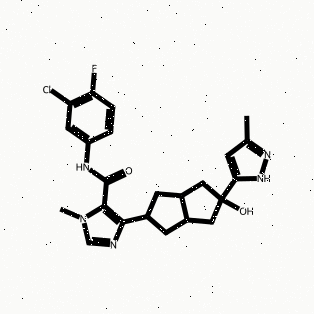 Cc1cc(C2(O)CC3CC(c4ncn(C)c4C(=O)Nc4ccc(F)c(Cl)c4)CC3C2)[nH]n1